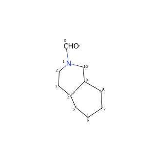 O=[C]N1CCC2CCCCC2C1